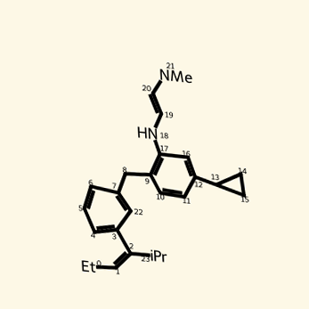 CC/C=C(\c1cccc(Cc2ccc(C3CC3)cc2N/C=C/NC)c1)C(C)C